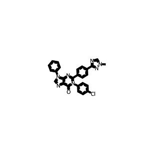 Cn1cnc(-c2ccc(-c3nc4c(ncn4-c4ccccc4)c(=O)n3-c3ccc(Cl)cc3)cc2)n1